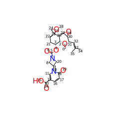 CO[C@@H]1[C@H](OC(=O)N2CC(n3cc(C(=O)O)ccc3=O)C2)CC[C@]2(CO2)[C@H]1[C@@]1(C)OC1CC=C(C)C